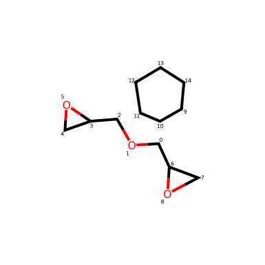 C(OCC1CO1)C1CO1.C1CCCCC1